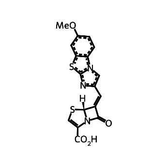 COc1ccc2c(c1)sc1nc(/C=C3/C(=O)N4C(C(=O)O)=CS[C@H]34)cn12